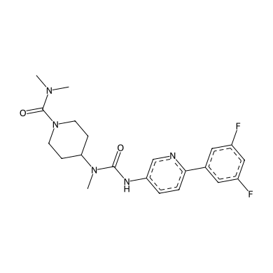 CN(C)C(=O)N1CCC(N(C)C(=O)Nc2ccc(-c3cc(F)cc(F)c3)nc2)CC1